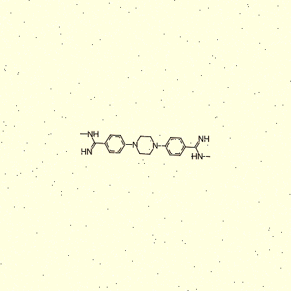 CNC(=N)c1ccc(N2CCN(c3ccc(C(=N)NC)cc3)CC2)cc1